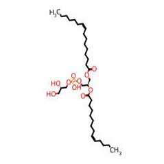 CCCC/C=C\CCCCCCCC(=O)O[C@H](COC(=O)CCCCCCC/C=C\CCCCCC)COP(=O)(O)OC[C@@H](O)CO